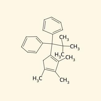 CC1=C(C)C(C)=C(C(c2ccccc2)(c2ccccc2)C(C)(C)C)C1